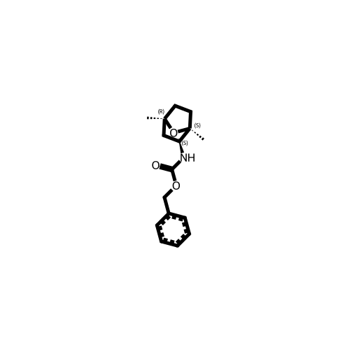 C[C@]12CC[C@](C)(O1)[C@@H](NC(=O)OCc1ccccc1)C2